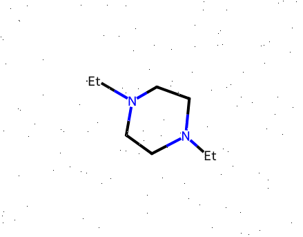 C[CH]N1CCN(CC)CC1